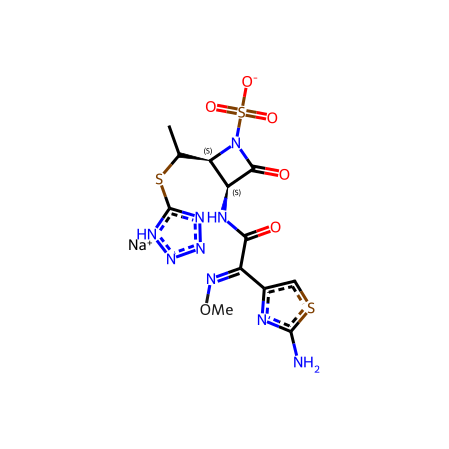 CON=C(C(=O)N[C@@H]1C(=O)N(S(=O)(=O)[O-])[C@@H]1C(C)Sc1nnn[nH]1)c1csc(N)n1.[Na+]